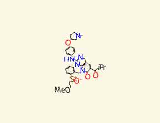 COCC[S+]([O-])c1ccccc1Cn1c(=O)c(C(=O)C(C)C)cc2cnc(Nc3ccc(OC4CCN(C)C4)cc3)nc21